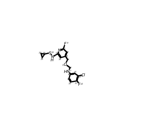 Fc1cc(COCNc2ccc(F)c(Cl)c2)cc(NSC2CC2)n1